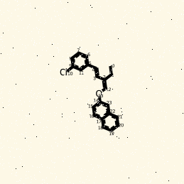 CCC(C=Cc1cccc(Cl)c1)=COc1ccc2ccccc2c1